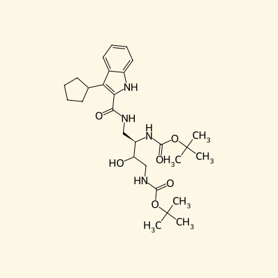 CC(C)(C)OC(=O)NCC(O)[C@@H](CNC(=O)c1[nH]c2ccccc2c1C1CCCC1)NC(=O)OC(C)(C)C